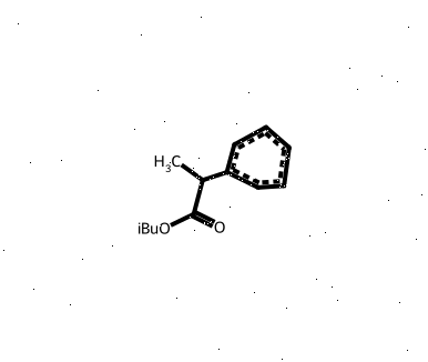 CC(C)COC(=O)C(C)c1ccccc1